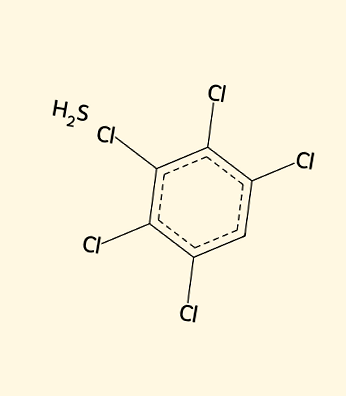 Clc1cc(Cl)c(Cl)c(Cl)c1Cl.S